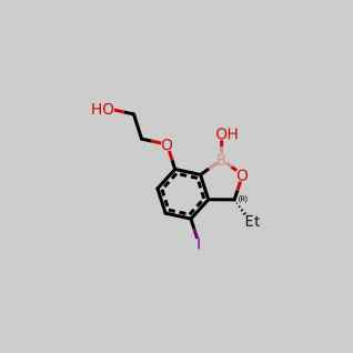 CC[C@H]1OB(O)c2c(OCCO)ccc(I)c21